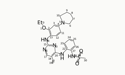 CCOc1cc(N2CCCCC2)ccc1Nc1ncc(F)c(Nc2ccccc2NS(C)(=O)=O)n1